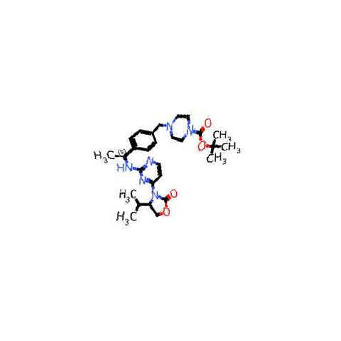 CC(C)C1COC(=O)N1c1ccnc(N[C@@H](C)c2ccc(CN3CCN(C(=O)OC(C)(C)C)CC3)cc2)n1